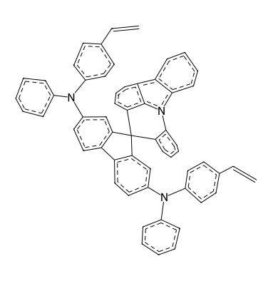 C=Cc1ccc(N(c2ccccc2)c2ccc3c(c2)C2(c4cc(N(c5ccccc5)c5ccc(C=C)cc5)ccc4-3)c3ccccc3-n3c4ccccc4c4cccc2c43)cc1